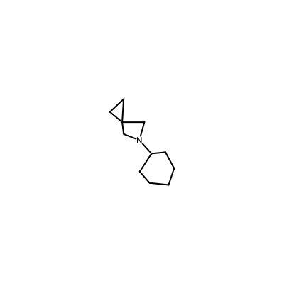 C1CCC(N2CC3(CC3)C2)CC1